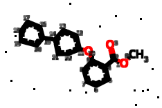 COC(=O)c1ccccc1Oc1ccc(-c2ccccc2)cc1